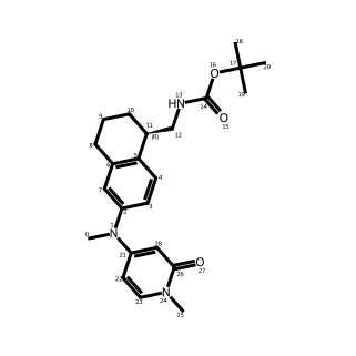 CN(c1ccc2c(c1)CCC[C@H]2CNC(=O)OC(C)(C)C)c1ccn(C)c(=O)c1